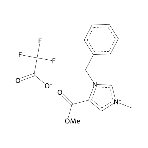 COC(=O)c1c[n+](C)cn1Cc1ccccc1.O=C([O-])C(F)(F)F